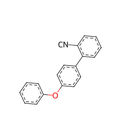 [C-]#[N+]c1ccccc1-c1ccc(Oc2ccccc2)cc1